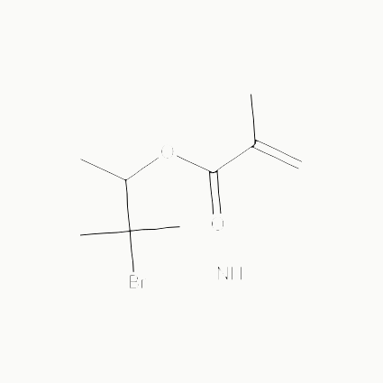 C=C(C)C(=O)OC(C)C(C)(C)Br.N